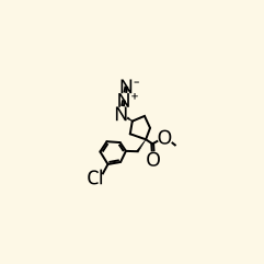 COC(=O)[C@@]1(Cc2cccc(Cl)c2)CC[C@H](N=[N+]=[N-])C1